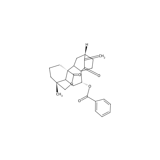 C=C1C(=O)C23CC[C@H]1CC2[C@@]12CCC[C@@](C)(COC1=O)C2C[C@H]3OC(=O)c1ccccc1